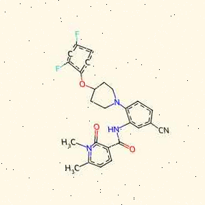 Cc1ccc(C(=O)Nc2cc(C#N)ccc2N2CCC(Oc3ccc(F)cc3F)CC2)c(=O)n1C